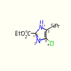 CCOC(=O)c1nc(Cl)c(C(C)C)[nH]1